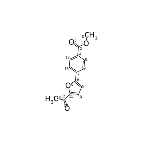 COC(=O)c1ccc(-c2ccc(C(C)=O)o2)cc1